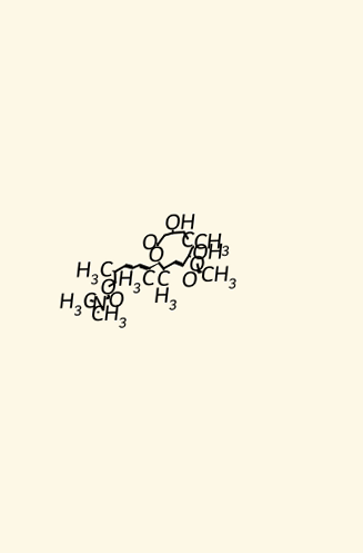 CC(=O)O[C@H]1/C=C/[C@H](C)[C@@H](/C(C)=C/C=C/[C@@H](C)COC(=O)N(C)C)OC(=O)C[C@@H](O)CC[C@]1(C)O